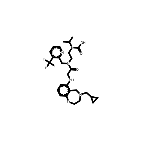 CC(C)N(CCN(Cc1ncccc1C(F)(F)F)C(=O)CNc1cccc2c1CN(CC1CC1)CCO2)C(=O)O